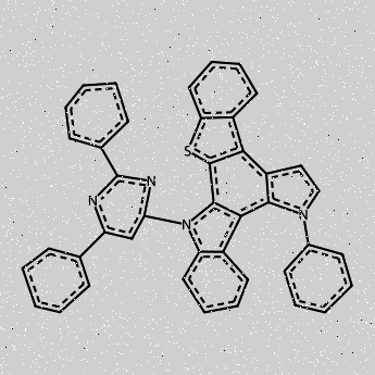 c1ccc(-c2cc(-n3c4ccccc4c4c5c(ccn5-c5ccccc5)c5c6ccccc6sc5c43)nc(-c3ccccc3)n2)cc1